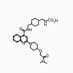 CN(C)C(=O)COC1CCN(c2cc(C(=O)NCC3CCC(CNC(=O)O)CC3)c3ccccc3n2)CC1